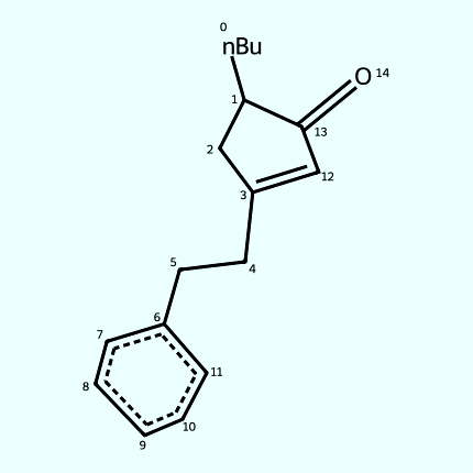 CCCCC1CC(CCc2ccccc2)=CC1=O